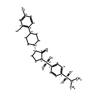 CN(C)S(=O)(=O)c1ccc(S(=O)(=O)N2CC[C@H](N3CCC(c4ccc(Cl)cc4F)CC3)C2=O)cc1